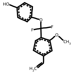 C=Cc1ccc(C(F)(F)Oc2ccc(O)cc2)c(OC)c1